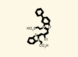 CCC(=Cc1oc2ccc(-c3ccccc3)cc2[n+]1CCS(=O)(=O)O)C=C1Sc2ccccc2N1CC(=O)O